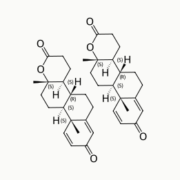 C[C@]12C=CC(=O)C=C1CC[C@@H]1[C@@H]2CC[C@]2(C)OC(=O)CC[C@@H]12.C[C@]12C=CC(=O)C=C1CC[C@@H]1[C@@H]2CC[C@]2(C)OC(=O)CC[C@@H]12